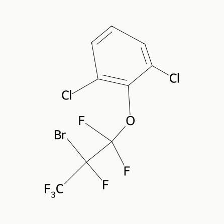 FC(F)(F)C(F)(Br)C(F)(F)Oc1c(Cl)cccc1Cl